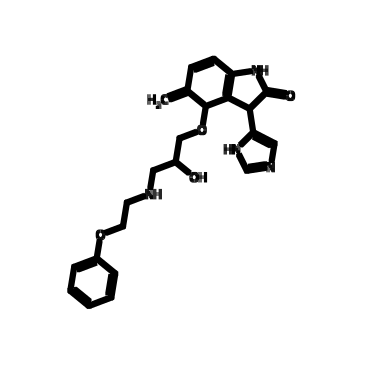 C=C1C=CC2=C(C1OCC(O)CNCCOc1ccccc1)C(c1cnc[nH]1)C(=O)N2